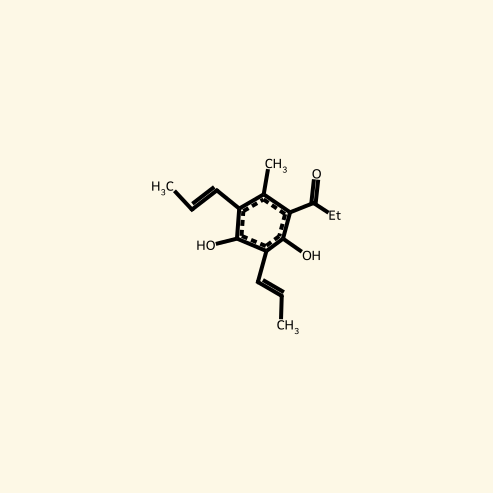 C/C=C/c1c(C)c(C(=O)CC)c(O)c(/C=C/C)c1O